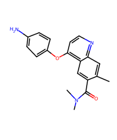 Cc1cc2nccc(Oc3ccc(N)cc3)c2cc1C(=O)N(C)C